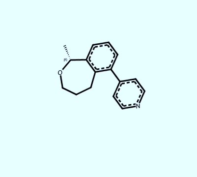 C[C@H]1OCCCc2c(-c3ccncc3)cccc21